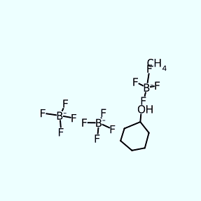 C.F[B-](F)(F)F.F[B-](F)(F)F.F[B-](F)(F)F.OC1CCCCC1